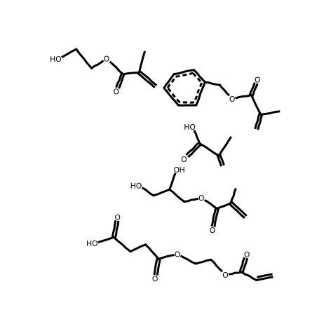 C=C(C)C(=O)O.C=C(C)C(=O)OCC(O)CO.C=C(C)C(=O)OCCO.C=C(C)C(=O)OCc1ccccc1.C=CC(=O)OCCOC(=O)CCC(=O)O